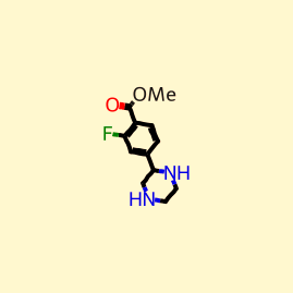 COC(=O)c1ccc(C2CNCCN2)cc1F